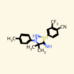 Cc1ccc(N2N[SH](c3ccc(C#N)c(C(F)(F)F)c3)C(=N)C2(C)C)cc1